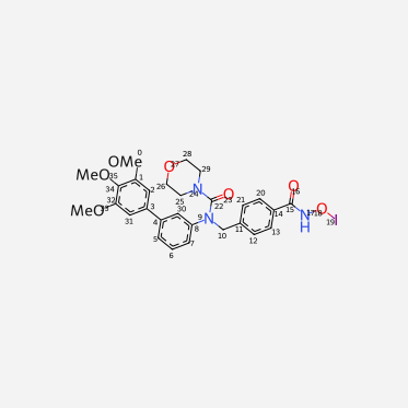 COc1cc(-c2cccc(N(Cc3ccc(C(=O)NOI)cc3)C(=O)N3CCOCC3)c2)cc(OC)c1OC